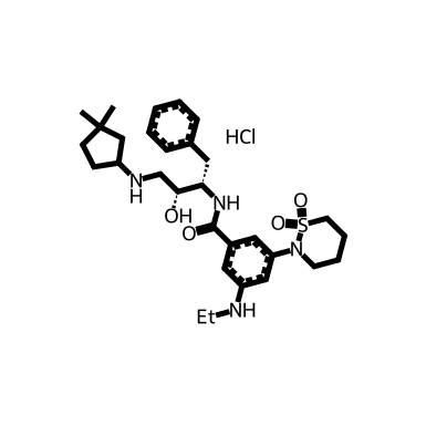 CCNc1cc(C(=O)N[C@@H](Cc2ccccc2)[C@H](O)CNC2CCC(C)(C)C2)cc(N2CCCCS2(=O)=O)c1.Cl